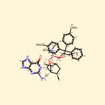 COc1ccc(C(OC[C@@]23C[C@@H](C)[C@@H]([C@H](n4c(N)nc5nc[nH]c5c4=O)O2)[C@@H]3OP(OCCC#N)N(C(C)C)C(C)C)(c2ccccc2)c2ccc(OC)cc2)cc1